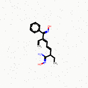 C=CC(=C\C=CC(CC)/C(N)=N/O)/C(=N/O)c1ccccc1